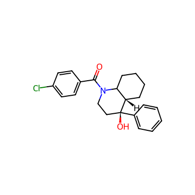 O=C(c1ccc(Cl)cc1)N1CC[C@@](O)(c2ccccc2)[C@H]2CCCCC21